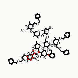 CCC1O[C@@H](O[C@@H]2C(OCc3ccccc3)[C@H](O[C@@H]3C(COCc4ccccc4)O[C@@H](OCc4ccccc4)C(C)[C@H]3C)OC(CO[C@H]3OC(CC)[C@@H](C)[C@H](C)C3O[C@@H]3OC[C@@H](O[C@@H]4OC(COCc5ccccc5)[C@H](C)[C@H](C)C4OC(C)=O)[C@H](C)C3C)[C@H]2O[C@@H]2OC3COC(c4ccccc4)O[C@H]3[C@H](C)C2C)[C@@H](O[C@@H]2OC(CC)[C@@H](O[C@@H]3OC(COCc4ccccc4)[C@H](C)[C@H](C)C3OC(C)=O)[C@H](C)C2C)C(C)[C@H]1C